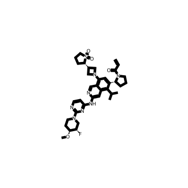 C=CC(=O)N1CCC[C@@H]1c1cc(N2CC([C@@H]3CCCS3(=O)=O)C2)c2cnc(Nc3ccnc(N4CC[C@@H](OC)[C@@H](F)C4)n3)cc2c1C(C)C